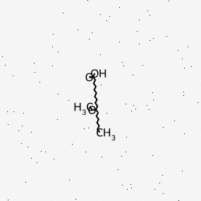 CCCCCCCC(CCCCCCCCCC(=O)O)OC